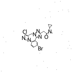 CN(C(=O)Cc1nc2n(n1)Cc1c(Cl)ncn1-c1ccc(Br)cc1-2)C1CC1